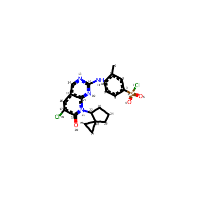 Cc1cc(S(=O)(=O)Cl)ccc1Nc1ncc2cc(Cl)c(=O)n(C3CCCC34CC4)c2n1